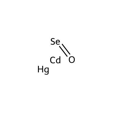 O=[Se].[Cd].[Hg]